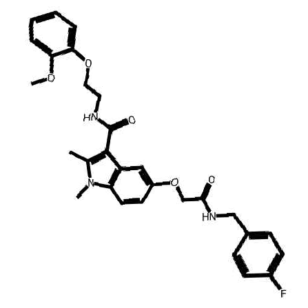 COc1ccccc1OCCNC(=O)c1c(C)n(C)c2ccc(OCC(=O)NCc3ccc(F)cc3)cc12